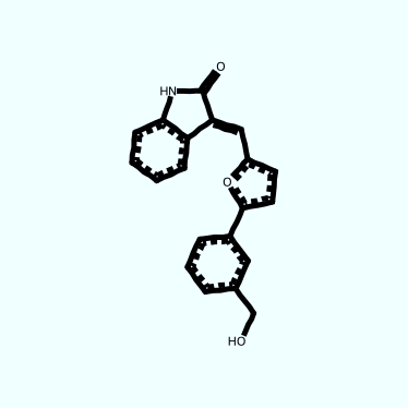 O=C1Nc2ccccc2/C1=C\c1ccc(-c2cccc(CO)c2)o1